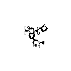 COC(=O)N1c2ccc(C(CN)CNC3CC3)cc2N(C(=O)Oc2cccnc2)C[C@@H]1C